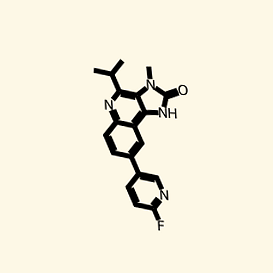 CC(C)c1nc2ccc(-c3ccc(F)nc3)cc2c2[nH]c(=O)n(C)c12